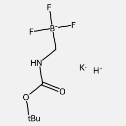 CC(C)(C)OC(=O)NC[B-](F)(F)F.[H+].[K]